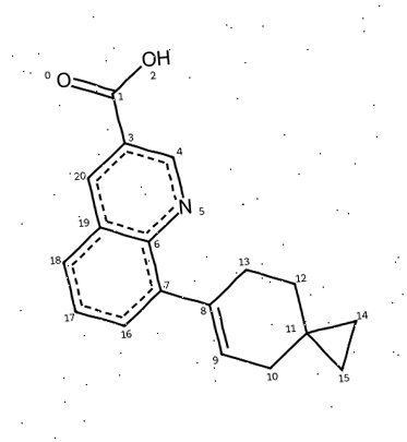 O=C(O)c1cnc2c(C3=CCC4(CC3)CC4)cccc2c1